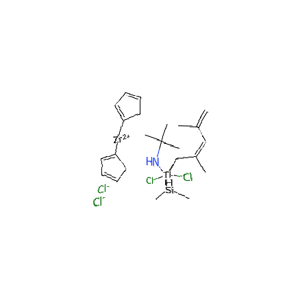 C1=CC[C]([Zr+2][C]2=CC=CC2)=C1.C=C(C)C=C(C)[CH2][Ti]([Cl])([Cl])([NH]C(C)(C)C)[SiH](C)C.[Cl-].[Cl-]